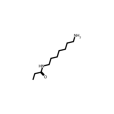 CCC(=O)NCCCCCCCN